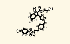 CCc1ccc(S(=O)(=O)NCCN2CCC(Cn3cc(-c4c(C(=O)OCCO)[nH]c5ccc(F)cc45)nn3)CC2)cc1